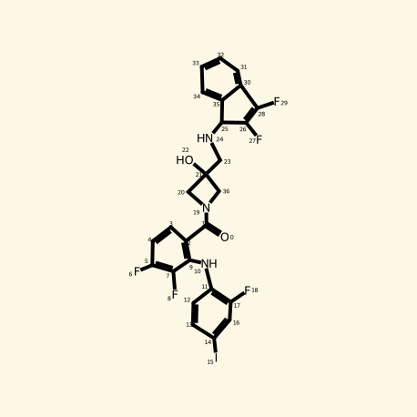 O=C(c1ccc(F)c(F)c1Nc1ccc(I)cc1F)N1CC(O)(CNC2C(F)=C(F)c3ccccc32)C1